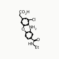 CCNC(=O)c1ccc(Oc2cc(Cl)cc(CC(=O)O)c2)c(N)c1